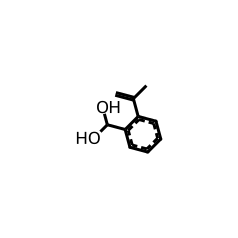 C=C(C)c1ccccc1C(O)O